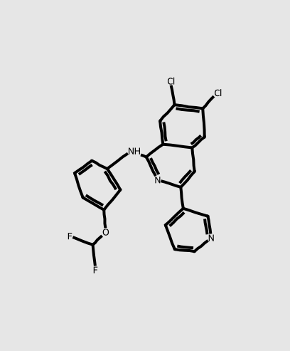 FC(F)Oc1cccc(Nc2nc(-c3cccnc3)cc3cc(Cl)c(Cl)cc23)c1